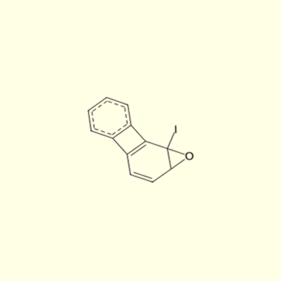 IC12OC1C=CC1=C2c2ccccc21